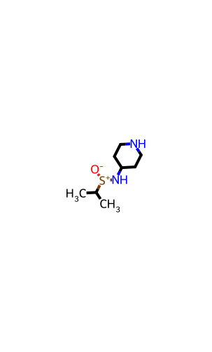 CC(C)[S+]([O-])NC1CCNCC1